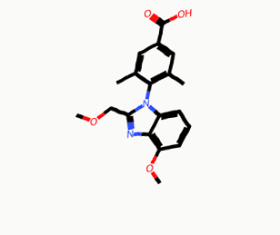 COCc1nc2c(OC)cccc2n1-c1c(C)cc(C(=O)O)cc1C